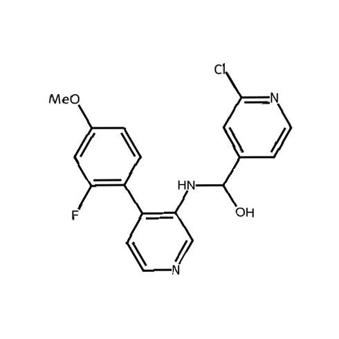 COc1ccc(-c2ccncc2NC(O)c2ccnc(Cl)c2)c(F)c1